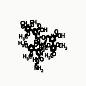 COc1cc(OC)c(-c2cc(CN3CCN(Cc4cc(-c5c(OC)cc(OC)cc5OC)cc(C(=O)O)n4)CCN(Cc4cc(-c5c(OC)cc(OC)cc5OC)cc(C(=O)NCCN)n4)CC3)nc(C(=O)O)c2)c(OC)c1